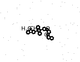 CC1(C)c2ccccc2-c2ccc(-c3c4ccccc4c(-c4ccc5oc6ccc7c(oc8ccc9ccccc9c87)c6c5c4)c4ccccc34)cc21